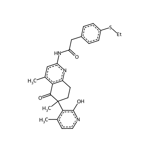 CCSc1ccc(CC(=O)Nc2cc(C)c3c(n2)CCC(C)(c2c(C)ccnc2O)C3=O)cc1